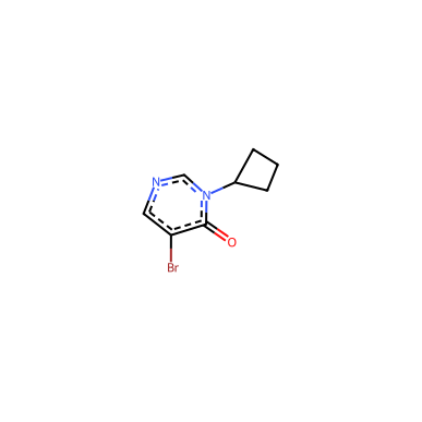 O=c1c(Br)cncn1C1CCC1